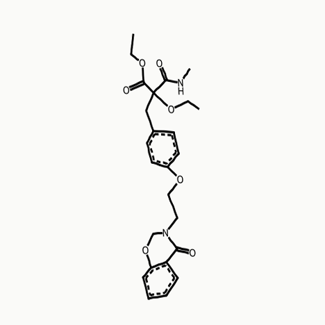 CCOC(=O)C(Cc1ccc(OCCN2COc3ccccc3C2=O)cc1)(OCC)C(=O)NC